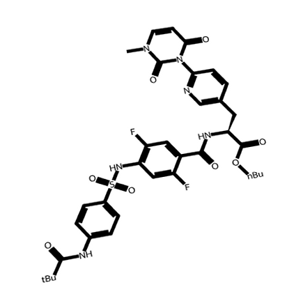 CCCCOC(=O)[C@H](Cc1ccc(-n2c(=O)ccn(C)c2=O)nc1)NC(=O)c1cc(F)c(NS(=O)(=O)c2ccc(NC(=O)C(C)(C)C)cc2)cc1F